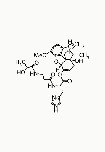 COc1ccc(C)c2c1O[C@H]1C(OC(=O)[C@H](Cc3c[nH]cn3)NC(=O)CCNC(=O)[C@H](C)O)=CC[C@@]3(O)[C@@H](C)N(C)CC[C@]213